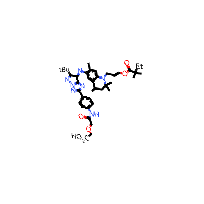 CCC(C)(C)C(=O)OCCCN1c2cc(C)c(/N=C3/C(C(C)(C)C)=Nn4nc(-c5ccc(NC(=O)COCC(=O)O)cc5)nc43)cc2C(C)CC1(C)C